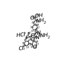 Cl.Nc1nc(O[C@H](c2ccc(Cl)cc2C2=COCCC2)C(F)(F)F)cc(C2=CCC(C[C@H](N)C(=O)O)CC2)n1